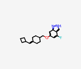 Fc1cc(OCC2CCC(=CC3CCC3)CC2)cc2n[nH]cc12